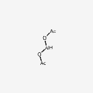 CC(=O)[O][AlH][O]C(C)=O